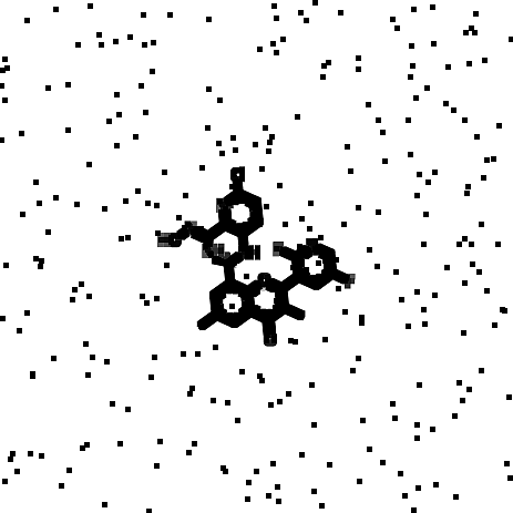 Cc1cc([C@@H](C)Nc2ccc(Cl)nc2/C(N)=N/O)c2oc(-c3cc(F)cnc3F)c(C)c(=O)c2c1